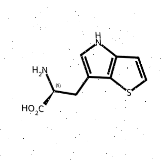 N[C@@H](Cc1c[nH]c2ccsc12)C(=O)O